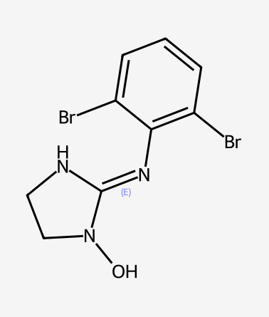 ON1CCN/C1=N\c1c(Br)cccc1Br